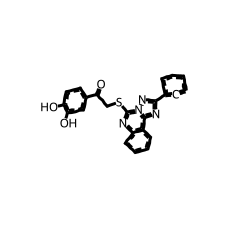 O=C(CSc1nc2ccccc2c2nc(-c3ccccc3)nn12)c1ccc(O)c(O)c1